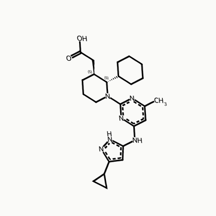 Cc1cc(Nc2cc(C3CC3)n[nH]2)nc(N2CCC[C@@H](CC(=O)O)[C@@H]2C2CCCCC2)n1